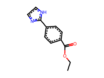 CCOC(=O)c1ccc(-c2ncc[nH]2)cc1